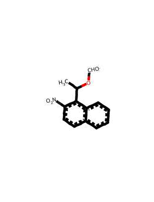 CC(O[C]=O)c1c([N+](=O)[O-])ccc2ccccc12